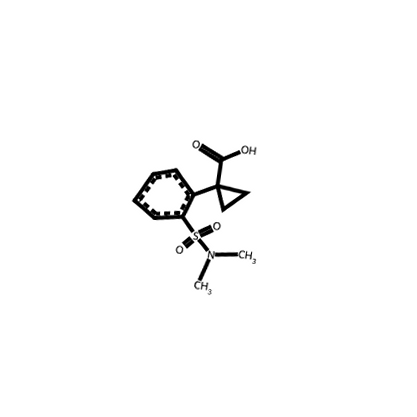 CN(C)S(=O)(=O)c1ccccc1C1(C(=O)O)CC1